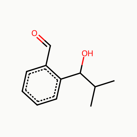 CC(C)C(O)c1ccccc1C=O